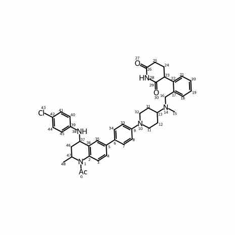 CC(=O)N1c2ccc(-c3ccc(N4CCC(N(C)Cc5ccccc5C5CCC(=O)NC5=O)CC4)cc3)cc2C(Nc2ccc(Cl)cc2)CC1C